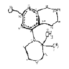 CC1(C)COCCN1c1nc(Cl)nc2c1CCNC2